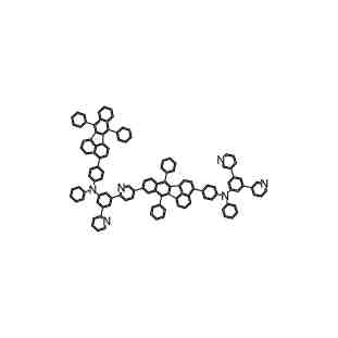 c1ccc(-c2c3c(c(-c4ccccc4)c4ccccc24)-c2ccc(-c4ccc(N(c5ccccc5)c5cc(-c6ccccn6)cc(-c6ccc(-c7ccc8c(-c9ccccc9)c9c(c(-c%10ccccc%10)c8c7)-c7cccc8c(-c%10ccc(N(c%11ccccc%11)c%11cc(-c%12cccnc%12)cc(-c%12cccnc%12)c%11)cc%10)ccc-9c78)cn6)c5)cc4)c4cccc-3c24)cc1